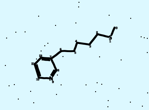 CSCCCCCc1[c]nccc1